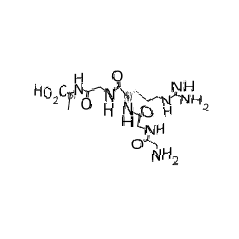 C[C@H](NC(=O)CNC(=O)[C@H](CCCNC(=N)N)NC(=O)CNC(=O)CN)C(=O)O